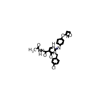 CC(=O)NNC(=O)c1c[nH]/c(=N\c2ccc(Oc3ccon3)cc2)n(Cc2ccc(Cl)cc2)c1=O